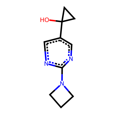 OC1(c2cnc(N3CCC3)nc2)CC1